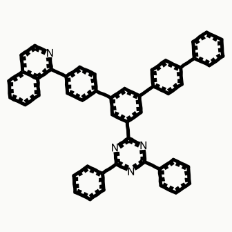 c1ccc(-c2ccc(-c3cc(-c4ccc(-c5nccc6ccccc56)cc4)cc(-c4nc(-c5ccccc5)nc(-c5ccccc5)n4)c3)cc2)cc1